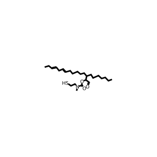 CCC=CCC=CCCCCCC(CCCCCCC)C(C=O)OC(=O)N(C)CCS